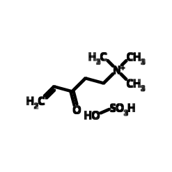 C=CC(=O)CC[N+](C)(C)C.O=S(=O)(O)O